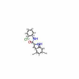 Cc1cc(C)c2cc(C(=O)Nc3ccccc3Cl)[nH]c2c1